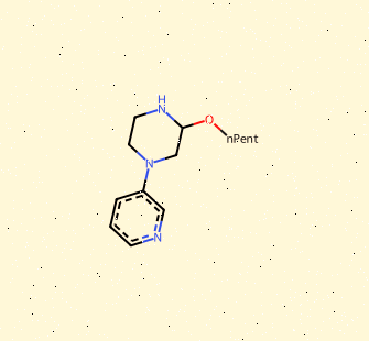 CCCCCOC1CN(c2cccnc2)CCN1